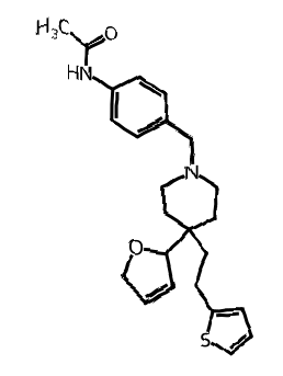 CC(=O)Nc1ccc(CN2CCC(CCc3cccs3)(C3C=CCO3)CC2)cc1